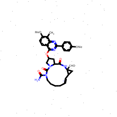 COc1ccc(-c2nc(OC3CC4C(=O)NC5([C]=O)CC5/C=C/CCCCN(C(N)=O)C(=O)N4C3)c3ccc(OC)c(C)c3n2)cc1